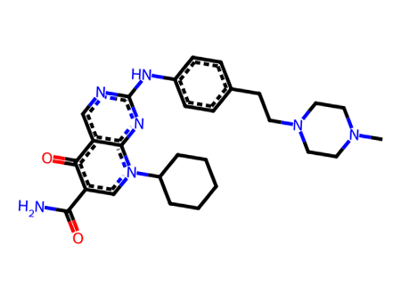 CN1CCN(CCc2ccc(Nc3ncc4c(=O)c(C(N)=O)cn(C5CCCCC5)c4n3)cc2)CC1